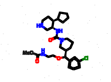 COC(=O)NCCOC(c1cccc(Cl)c1)[C@@H]1CCCN(C(=O)N[C@@H]2CNCC[C@H]2C2CCCC2)C1